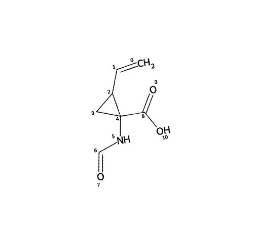 C=CC1CC1(NC=O)C(=O)O